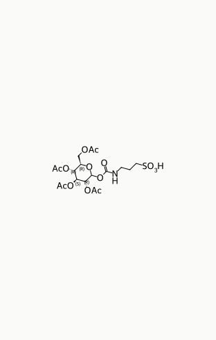 CC(=O)OC[C@H]1OC(OC(=O)NCCCS(=O)(=O)O)[C@H](OC(C)=O)[C@@H](OC(C)=O)[C@@H]1OC(C)=O